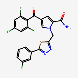 NC(=O)c1cc(C(=O)c2c(F)cc(F)cc2F)cn1Cc1nnc(-c2cccc(F)c2)s1